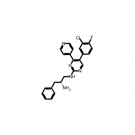 N[C@@H](CNc1ncc(-c2ccc(F)c(Cl)c2)c(-c2ccncc2)n1)Cc1ccccc1